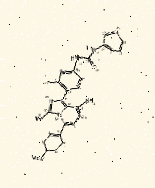 CNC1CC=C(c2cnc(N)c3c(-c4ccc(NC(=O)Nc5cccnc5)cc4F)nc(C(C)C)n23)CC1